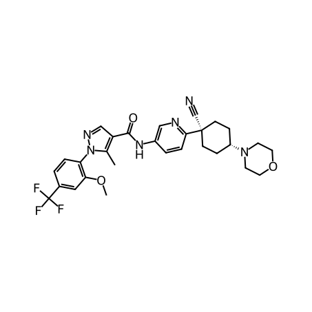 COc1cc(C(F)(F)F)ccc1-n1ncc(C(=O)Nc2ccc([C@]3(C#N)CC[C@@H](N4CCOCC4)CC3)nc2)c1C